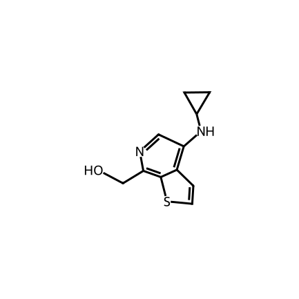 OCc1ncc(NC2CC2)c2ccsc12